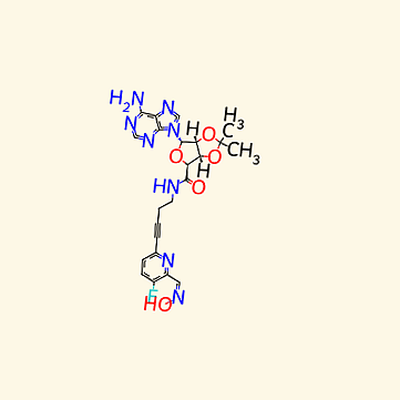 CC1(C)O[C@@H]2[C@H](O1)[C@@H](C(=O)NCCC#Cc1ccc(F)c(/C=N\O)n1)O[C@H]2n1cnc2c(N)ncnc21